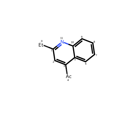 CCc1cc(C(C)=O)c2ccccc2n1